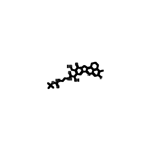 Cc1c(F)cc2nc3c(c4c2c1CCC4)Cn1c-3cc(C(O)C(=O)NCCNC(=O)OC(C)(C)C)c(CO)c1=O